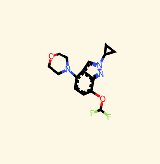 FC(F)Oc1ccc(N2CCOCC2)c2cn(C3CC3)nc12